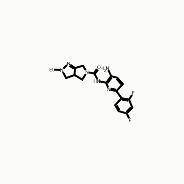 CCN1CC2CN(C(=O)Nc3nc(-c4ccc(F)cc4F)ccc3N)CC2=N1